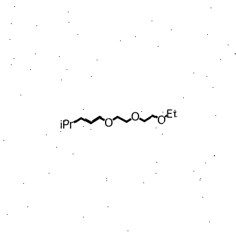 CCOCCOCCOCCCC(C)C